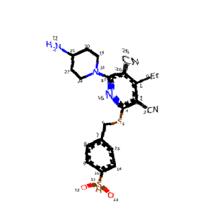 CCc1c(C#N)c(SCc2ccc([SH](=O)=O)cc2)nc(N2CCC(N)CC2)c1C#N